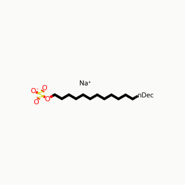 CCCCCCCCCCCCCCCCCCCCCCOS(=O)(=O)[O-].[Na+]